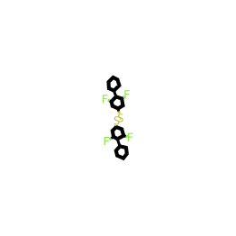 Fc1cc(SSc2cc(F)c(-c3ccccc3)c(F)c2)cc(F)c1-c1ccccc1